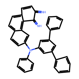 N=C1C=Cc2ccc3ccc(N(c4ccccc4)c4cc(-c5ccccc5)cc(-c5ccccc5)c4)cc3c2C1=N